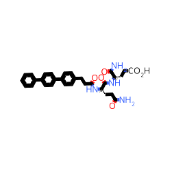 NC(=O)CC[C@H](NC(=O)CCc1ccc(-c2ccc(-c3ccccc3)cc2)cc1)C(=O)N[C@@H](CCC(=O)O)C(N)=O